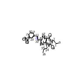 CCCn1c(=O)c2c(nc(/C=C/c3cccc([N+](=O)[O-])c3)n2C)n(CCC)c1=O